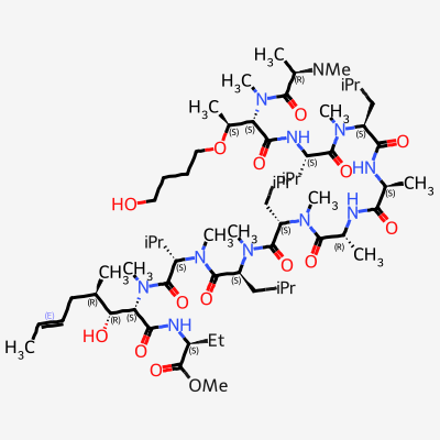 C/C=C/C[C@@H](C)[C@@H](O)[C@@H](C(=O)N[C@@H](CC)C(=O)OC)N(C)C(=O)[C@H](C(C)C)N(C)C(=O)[C@H](CC(C)C)N(C)C(=O)[C@H](CC(C)C)N(C)C(=O)[C@@H](C)NC(=O)[C@H](C)NC(=O)[C@H](CC(C)C)N(C)C(=O)[C@@H](NC(=O)[C@H]([C@H](C)OCCCCO)N(C)C(=O)[C@@H](C)NC)C(C)C